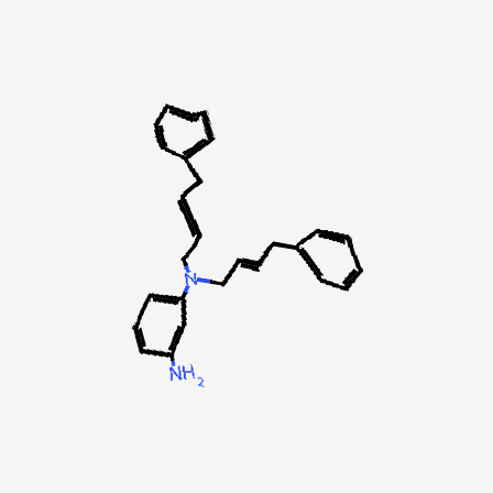 Nc1cccc(N(CC=CCc2ccccc2)CC=CCc2ccccc2)c1